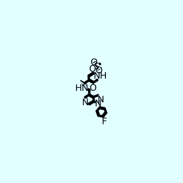 C[C@H](NC(=O)c1cncc2c1cnn2-c1ccc(F)cc1)C1=CCNC(OS(C)(=O)=O)=C1